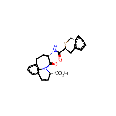 CC(=O)S[C@@H](Cc1ccccc1)C(=O)N[C@H]1CCc2cccc3c2N(C1=O)[C@H](C(=O)O)CC3